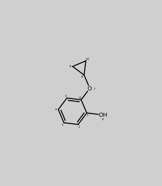 Oc1ccccc1OC1CC1